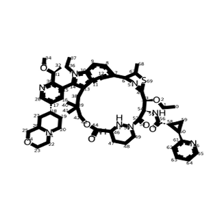 CCO[C@@H]1C2=NC(c3ccc4c(c3)c(c(-c3cc([C@@H]5CCN6CCOCC6C5)cnc3[C@H](C)OC)n4CC)CC(C)(C)COC(=O)[C@@H]3CCCN(N3)C(=O)[C@H]1NC(=O)[C@@H]1C[C@H]1c1ccccn1)C(C)S2